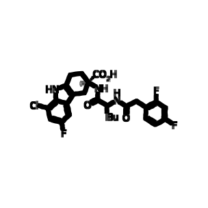 CCC(C)C(NC(=O)Cc1ccc(F)cc1F)C(=O)N[C@]1(C(=O)O)CCc2[nH]c3c(Cl)cc(F)cc3c2C1